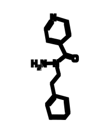 NN(CCc1ccccc1)C(=O)c1ccncc1